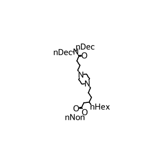 CCCCCCCCCCN(CCCCCCCCCC)C(=O)CCCN1CCN(CCCC(CCCCCC)CC(=O)OCCCCCCCCC)CC1